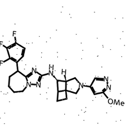 COc1cc(N2C[C@H]3[C@H](Nc4nc5n(n4)CCCCC5c4ccc(F)c(F)c4F)C4CCC43C2)cnn1